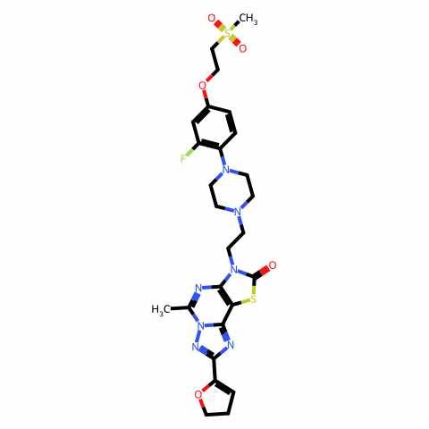 Cc1nc2c(sc(=O)n2CCN2CCN(c3ccc(OCCS(C)(=O)=O)cc3F)CC2)c2nc(C3=CCCO3)nn12